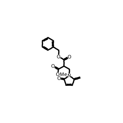 C=C1C=CC(=O)N1CC(C(=O)OC)C(=O)OCc1ccccc1